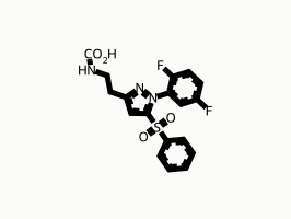 O=C(O)NCCc1cc(S(=O)(=O)c2ccccc2)n(-c2cc(F)ccc2F)n1